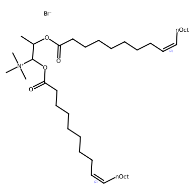 CCCCCCCC/C=C\CCCCCCCC(=O)OC(C)C(OC(=O)CCCCCCC/C=C\CCCCCCCC)[N+](C)(C)C.[Br-]